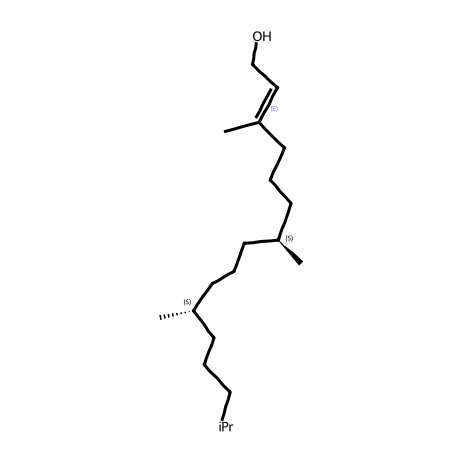 C/C(=C\CO)CCC[C@@H](C)CCC[C@@H](C)CCCC(C)C